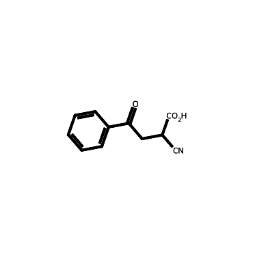 N#CC(CC(=O)c1ccccc1)C(=O)O